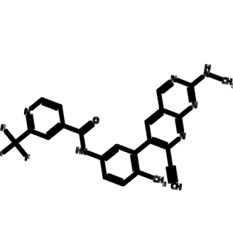 C#Cc1nc2nc(NC)ncc2cc1-c1cc(NC(=O)c2ccnc(C(F)(F)F)c2)ccc1C